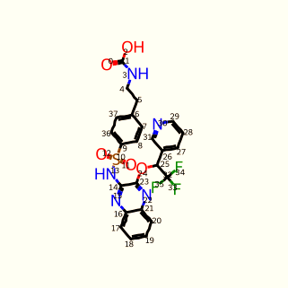 O=C(O)NCCc1ccc(S(=O)(=O)Nc2nc3ccccc3nc2OC(c2cccnc2)C(F)(F)F)cc1